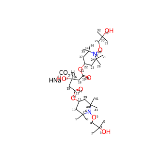 CC(C)(O)CON1C(C)(C)CC(OC(=O)CC(O)(CC(=O)OC2CC(C)(C)N(OCC(C)(C)O)C(C)(C)C2)C(=O)O)CC1(C)C.[NaH]